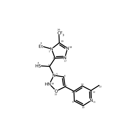 CCn1c(C(S)N2C=C(c3ccnc(C)c3)ON2)nnc1C(F)(F)F